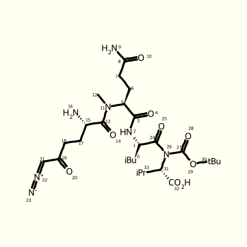 CC[C@H](C)[C@H](NC(=O)[C@H](CCC(N)=O)N(C)C(=O)[C@@H](N)CCC(=O)C=[N+]=[N-])C(=O)N(C(=O)OC(C)(C)C)[C@H](C(=O)O)C(C)C